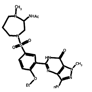 CCCc1nn(C)c2c(=O)[nH]c(-c3cc(S(=O)(=O)N4CCCN(C)C(NC(C)=O)C4)ccc3OCC)nc12